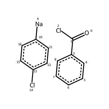 O=C(Cl)c1ccccc1.[Na][c]1ccc(Cl)cc1